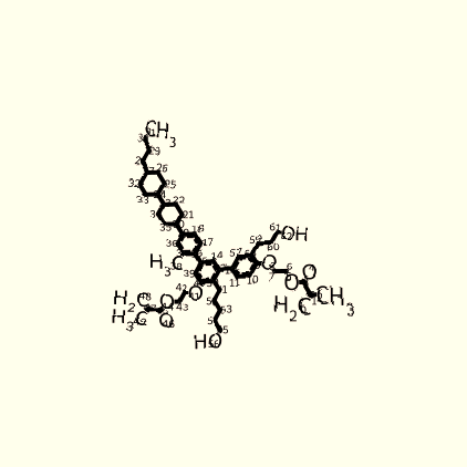 C=C(C)C(=O)OCCOc1ccc(-c2cc(-c3ccc(C4CCC(C5CCC(CCCC)CC5)CC4)cc3C)cc(OCCOC(=O)C(=C)C)c2CCCCCO)cc1CCCO